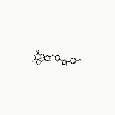 N#Cc1ccc(-c2ncc(-c3ccc(Oc4ccc(N5CCCC56C(=O)NC(=O)NC6=O)cn4)cc3)o2)cc1